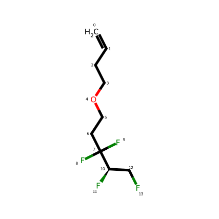 C=CCCOCCC(F)(F)[C@H](F)CF